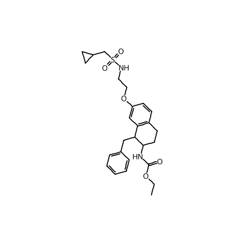 CCOC(=O)NC1CCc2ccc(OCCNS(=O)(=O)CC3CC3)cc2C1Cc1ccccc1